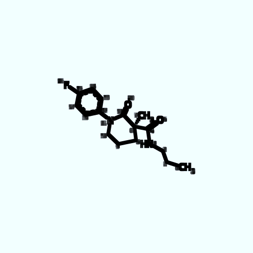 CCCNC(=O)[C@@]1(C)CCCN(c2ccc(F)cc2)C1=O